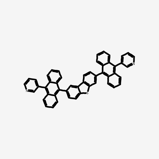 c1cncc(-c2c3ccccc3c(-c3ccc4c(c3)sc3ccc(-c5c6ccccc6c(-c6cccnc6)c6ccccc56)cc34)c3ccccc23)c1